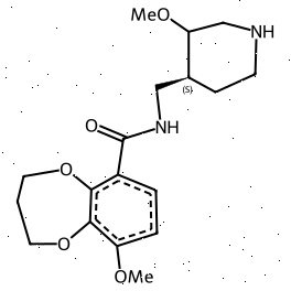 COc1ccc(C(=O)NC[C@@H]2CCNCC2OC)c2c1OCCCO2